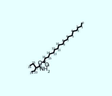 CCCCCCCCCCCCCCCCCC(=O)OC(N)C(CC)CC